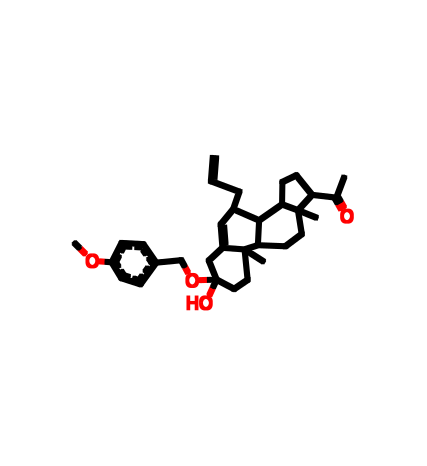 C=CCC1C=C2CC(O)(OCc3ccc(OC)cc3)CCC2(C)C2CCC3(C)C(C(C)=O)CCC3C12